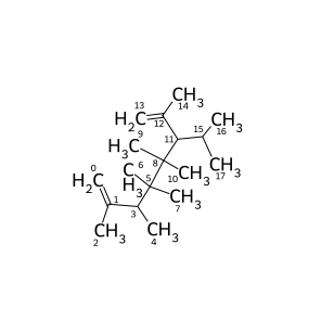 C=C(C)C(C)C(C)(C)C(C)(C)C(C(=C)C)C(C)C